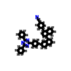 N#Cc1ccc(-c2ccc(-c3cccc4ccc(-c5ccc(-c6nc(-c7ccccc7)nc(-c7ccccc7)n6)cc5)cc34)c3ccccc23)cc1